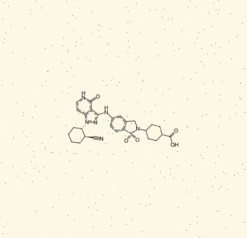 N#C[C@H]1CCCC[C@@H]1n1nc(Nc2ccc3c(c2)CN(C2CCC(C(=O)O)CC2)S3(=O)=O)c2c(=O)[nH]ccc21